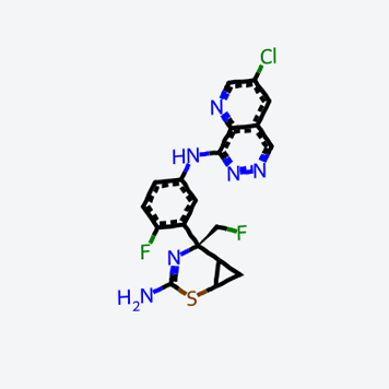 NC1=N[C@](CF)(c2cc(Nc3nncc4cc(Cl)cnc34)ccc2F)C2CC2S1